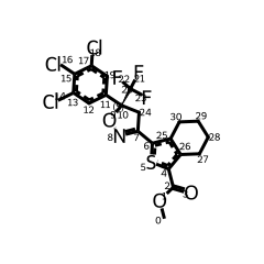 COC(=O)c1sc(C2=NO[C@@](c3cc(Cl)c(Cl)c(Cl)c3)(C(F)(F)F)C2)c2c1CCCC2